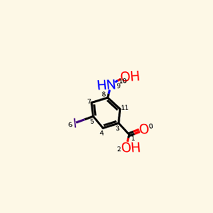 O=C(O)c1cc(I)cc(NO)c1